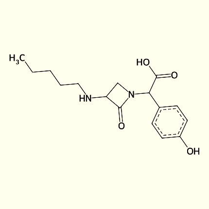 CCCCCNC1CN(C(C(=O)O)c2ccc(O)cc2)C1=O